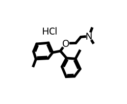 Cc1cccc(C(OCCN(C)C)c2ccccc2C)c1.Cl